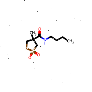 CCCCNC(=O)C1(C)CSS(=O)(=O)C1